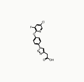 O=C(O)Cc1cn(-c2ccc(Oc3ncc(Cl)cc3F)cc2)nn1